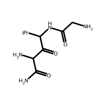 CC(C)C(NC(=O)CN)C(=O)C(N)C(N)=O